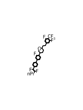 CCC/C(F)=C(\F)c1ccc(-c2ccc(C3CCC(CCc4cc(F)c(C(F)(F)F)c(F)c4)OC3)c(F)c2)cc1